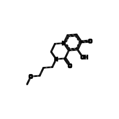 COCCCN1CCn2ccc(=O)c(O)c2C1=O